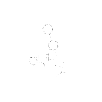 C[C@H](C[C@@H](Cc1ccc(-c2ccccc2)cc1)NC(=O)c1ccc[nH]1)C(=O)O